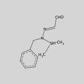 C[SiH](C)N(Cc1ccccc1)N=CC=O